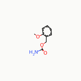 COc1ccccc1COC(N)=O